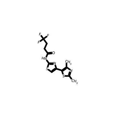 Cc1nc(C)c(-c2csc(NC(=O)CCC(F)(F)F)n2)s1